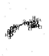 COc1cc(C(=O)NCCCCNCC(=O)Nc2cccc3c2C(=O)N([C@H]2CCCC(=O)NC2=O)C3=O)ccc1NC(=O)[C@@H]1N[C@@H](CC(C)(C)C)[C@H](c2ccc(Cl)cc2F)[C@H]1c1ccc(Cl)cc1F